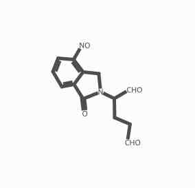 O=CCCC(C=O)N1Cc2c(N=O)cccc2C1=O